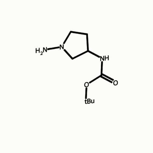 CC(C)(C)OC(=O)NC1CCN(N)C1